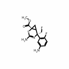 COC(=O)[C@@]12CC1[C@@](CF)(c1cc(N)ccc1F)N=C(N)S2